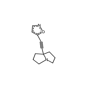 C(#CC12CCCN1CCC2)c1ccno1